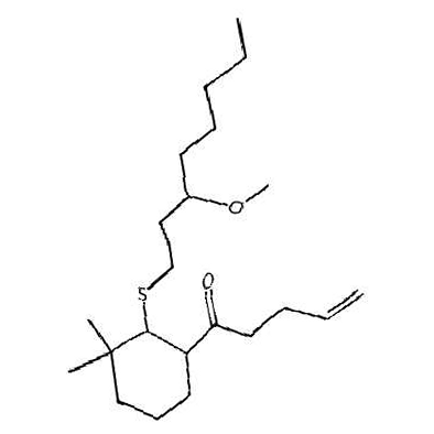 C=CCCC(=O)C1CCCC(C)(C)C1SCCC(CCCCC)OC